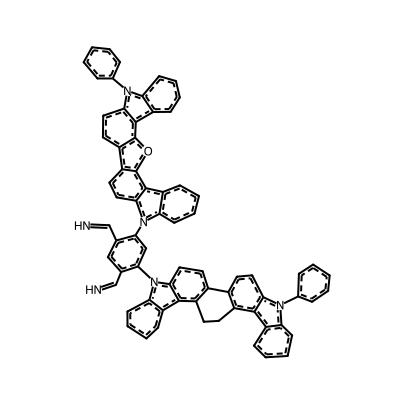 N=Cc1cc(C=N)c(-n2c3ccccc3c3c4oc5c(ccc6c5c5ccccc5n6-c5ccccc5)c4ccc32)cc1-n1c2ccccc2c2c3c(ccc21)-c1ccc2c(c1CC3)c1ccccc1n2-c1ccccc1